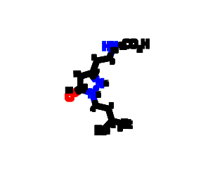 CCC(CC)CCN1N=C(CCNC(=O)O)CC1=O